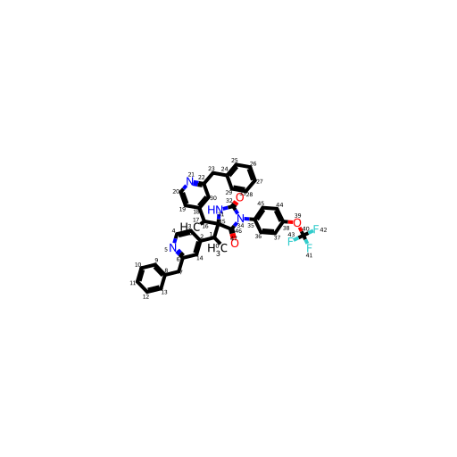 CC(c1ccnc(Cc2ccccc2)c1)C1(C(C)c2ccnc(Cc3ccccc3)c2)NC(=O)N(c2ccc(OC(F)(F)F)cc2)C1=O